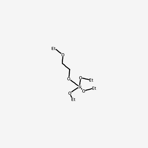 CCOCCO[Si](OCC)(OCC)OCC